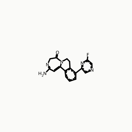 NC1=NCC(=O)N2CCc3c(cccc3-c3cncc(F)n3)C2=C1